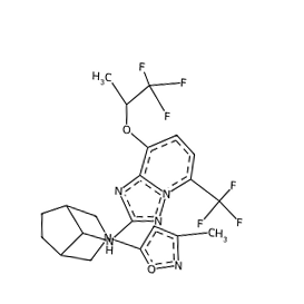 Cc1cc(N2CC3CCC(C2)C3Nc2nc3c(OC(C)C(F)(F)F)ccc(C(F)(F)F)n3n2)on1